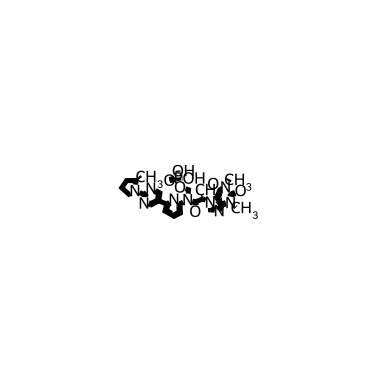 C[C@@H]1CCCN1c1ncc(-c2cccc(N(COP(=O)(O)O)C(=O)[C@H](C)n3cnc4c3c(=O)n(C)c(=O)n4C)n2)cn1